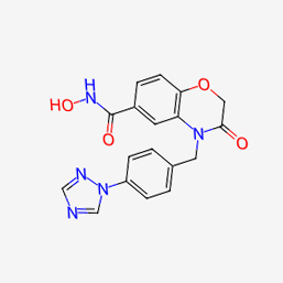 O=C(NO)c1ccc2c(c1)N(Cc1ccc(-n3cncn3)cc1)C(=O)CO2